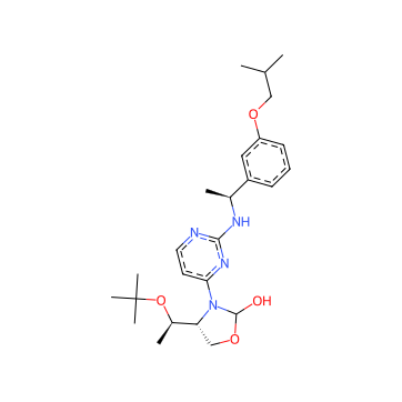 CC(C)COc1cccc([C@H](C)Nc2nccc(N3C(O)OC[C@@H]3[C@@H](C)OC(C)(C)C)n2)c1